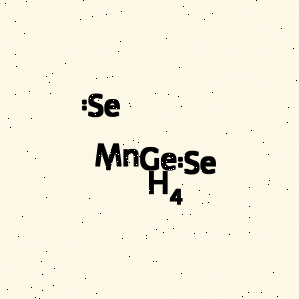 [GeH4].[Mn].[Se].[Se]